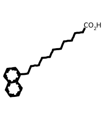 O=C(O)CCCCCCCCCCCc1cccc2ccccc12